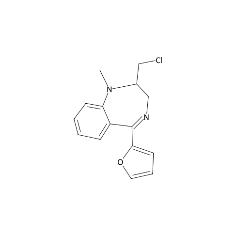 CN1c2ccccc2C(c2ccco2)=NCC1CCl